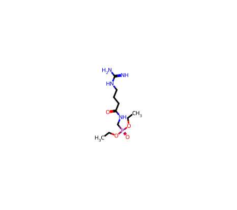 CCOP(=O)(CNC(=O)CCCNC(=N)N)OCC